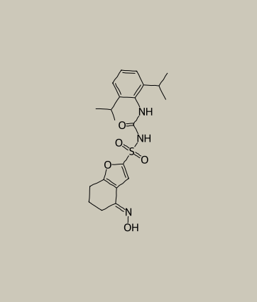 CC(C)c1cccc(C(C)C)c1NC(=O)NS(=O)(=O)c1cc2c(o1)CCC/C2=N\O